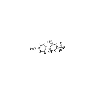 Oc1ccc(-c2ncc(C(F)(F)F)cc2Cl)cc1